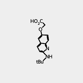 CC(C)(C)Nc1ccc2cc(OCC(=O)O)ccc2n1